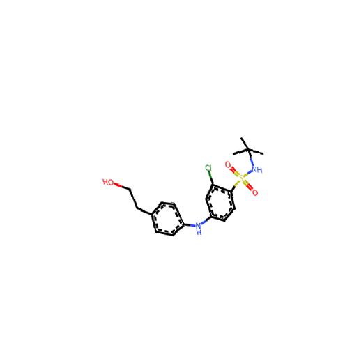 CC(C)(C)NS(=O)(=O)c1ccc(Nc2ccc(CCO)cc2)cc1Cl